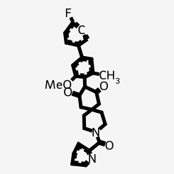 COc1cc(-c2ccc(F)cc2)cc(C)c1C1C(=O)CC2(CCN(C(=O)c3ccccn3)CC2)CC1=O